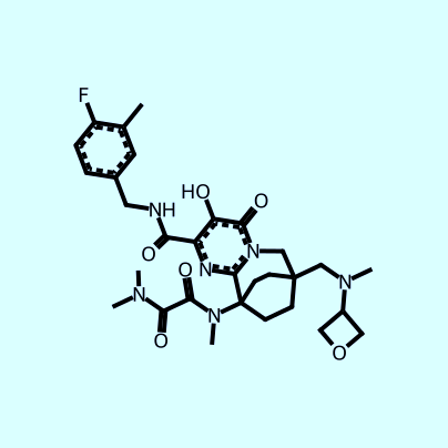 Cc1cc(CNC(=O)c2nc3n(c(=O)c2O)CC2(CN(C)C4COC4)CCC3(N(C)C(=O)C(=O)N(C)C)CC2)ccc1F